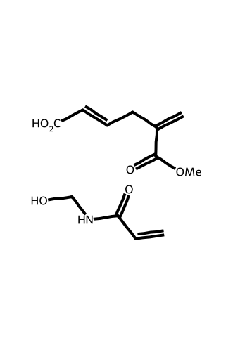 C=C(CC=CC(=O)O)C(=O)OC.C=CC(=O)NCO